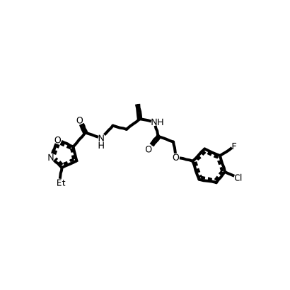 C=C(CCNC(=O)c1cc(CC)no1)NC(=O)COc1ccc(Cl)c(F)c1